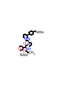 CNCc1ccc(-c2cccn3cc([C@@H]4CCCN4C(=O)[C@@H](NC(=O)[C@H](C)NC)C4CCOCC4)nc23)cc1